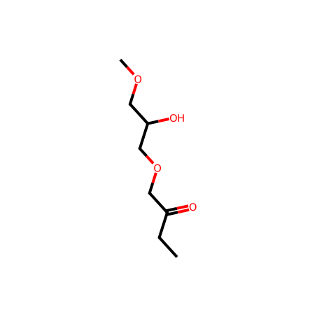 CCC(=O)COCC(O)COC